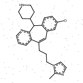 Cc1nccn1CCCC1=Cc2cc(Cl)ccc2C(C2CCNCC2)c2ncccc21